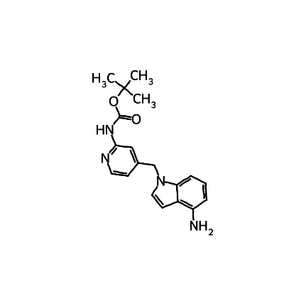 CC(C)(C)OC(=O)Nc1cc(Cn2ccc3c(N)cccc32)ccn1